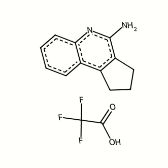 Nc1nc2ccccc2c2c1CCC2.O=C(O)C(F)(F)F